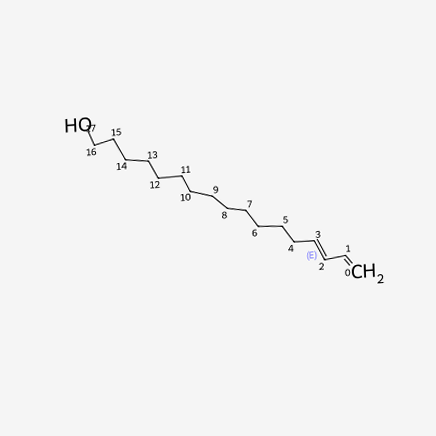 C=C/C=C/CCCCCCCCCCCCCO